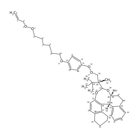 C=CCOOCCCCCCOc1ccc(OOC[C@](C)(C2Oc3ccc4c(c3[C@H]3c5ccccc5CC[C@H]3O2)CCCC4)C(C)(C)C)cc1